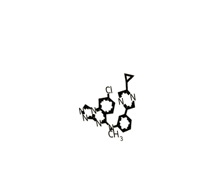 CN(c1cccc(-c2cnc(C3CC3)cn2)c1)c1nc2nncn2c2cc(Cl)ccc12